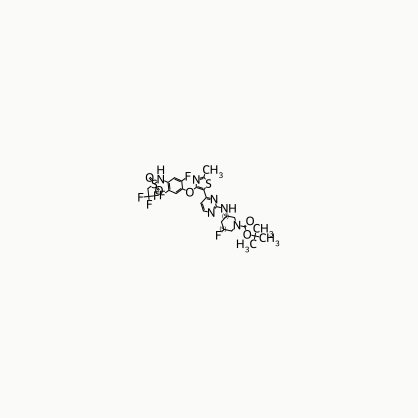 Cc1nc(Oc2cc(F)c(NS(=O)(=O)CC(F)(F)F)cc2F)c(-c2ccnc(N[C@H]3C[C@H](F)CN(C(=O)OC(C)(C)C)C3)n2)s1